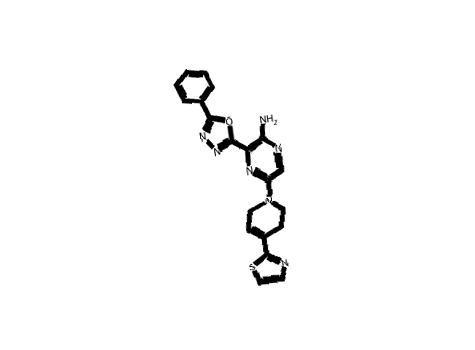 Nc1ncc(N2CC=C(c3nccs3)CC2)nc1-c1nnc(-c2ccccc2)o1